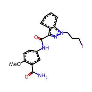 COc1ccc(NC(=O)c2nn(CCCI)c3ccccc23)cc1C(N)=O